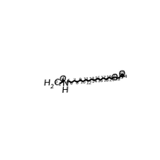 C=CC(=O)NCCCCCCCCCCCCCCCCOCC1CO1